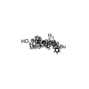 CCCCOP(=O)(O)C(Cc1ccccc1)NC(=O)[C@H](C)[C@@H](OC)[C@@H]1CCCN1C(=O)C[C@@H](OC)[C@H]([C@@H](C)CC)N(C)C(=O)[C@@H](NC(=O)O)C(C)C